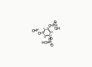 O=POc1cc(O[PH](=O)O)cc(O[PH](=O)O)c1